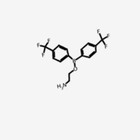 NCCOB(c1ccc(C(F)(F)F)cc1)c1ccc(C(F)(F)F)cc1